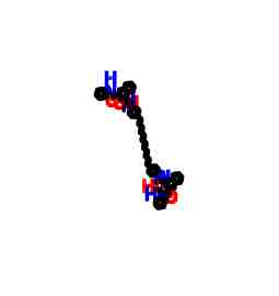 O=C(Nc1ccccc1)c1cc2ccccc2c(N=Nc2ccc(C=CC=CC=CC=CC=CC=Cc3ccc(N=Nc4c(O)c(C(=O)Nc5ccccc5)cc5ccccc45)cc3)cc2)c1O